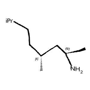 CC(C)CC[C@@H](C)C[C@@H](C)N